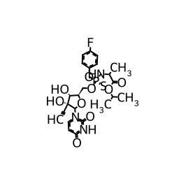 C#C[C@]1(O)C(n2ccc(=O)[nH]c2=O)O[C@H](COP(=S)(NC(C)C(=O)OC(C)C)Oc2ccc(F)cc2)[C@H]1O